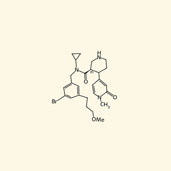 COCCCc1cc(Br)cc(CN(C(=O)[C@H]2CNCCC2c2ccn(C)c(=O)c2)C2CC2)c1